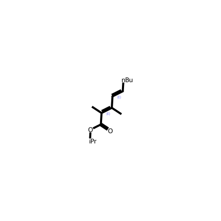 CCCC/C=C/C(C)=C(\C)C(=O)OC(C)C